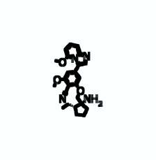 CC[C@H]1CCC[C@]1(N)COc1cc(-c2cnc3cccc(OC)n23)cc(OC)c1C#N